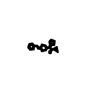 O=C(C1CC1)N(C1CCN(CCc2ccccc2)CC1)n1cccc1